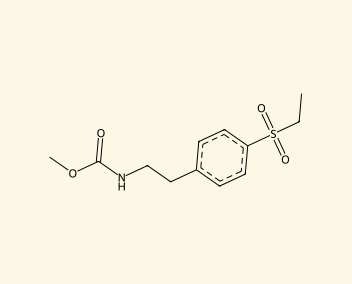 CCS(=O)(=O)c1ccc(CCNC(=O)OC)cc1